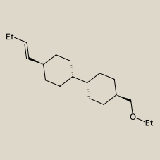 CCC=C[C@H]1CC[C@H]([C@H]2CC[C@H](COCC)CC2)CC1